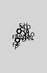 CNC(=O)c1nc(NC(=O)c2cc(F)cc(C(F)(F)F)c2)c2n1CC(=O)NC2c1cc(F)ccc1C(F)F